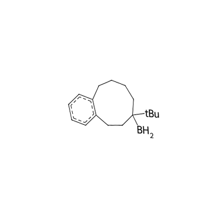 BC1(C(C)(C)C)CCCCc2ccccc2CC1